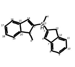 C[C]1C([SiH](C)C2=Cc3ccccc3[CH]2)=Cc2ccccc21